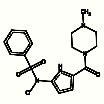 CN1CCN(C(=O)c2ccc(N(Cl)S(=O)(=O)c3ccccc3)[nH]2)CC1